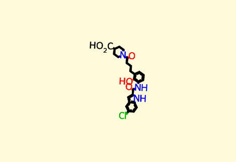 O=C(Nc1cccc(CCCC(=O)N2CCC(C(=O)O)CC2)c1O)c1cc2cc(Cl)ccc2[nH]1